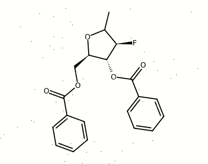 CC1O[C@H](COC(=O)c2ccccc2)[C@@H](OC(=O)c2ccccc2)[C@@H]1F